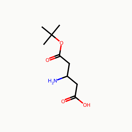 CC(C)(C)OC(=O)CC(N)CC(=O)O